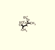 CCO[Si](C)(C)CC(C)Cl